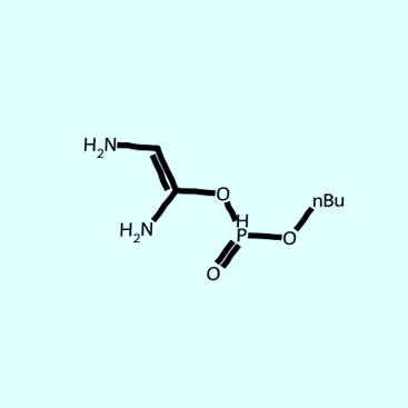 CCCCO[PH](=O)OC(N)=CN